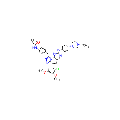 C=CC(=O)Nc1ccc(Cc2nnc3c(-c4cc(OC)cc(OC)c4Cl)cc4cnc(Nc5ccc(N6CCN(CC)CC6)cc5)nc4n23)cc1